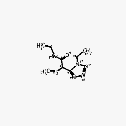 CCNC(=O)C(SC)c1nnnn1CC